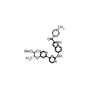 COC(C)[C@@H](C)Oc1ccnc(-c2ccnc(Nc3ccc4[nH]c(C(=O)N5CCN(C)CC5)cc4c3)n2)c1